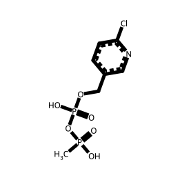 CP(=O)(O)OP(=O)(O)OCc1ccc(Cl)nc1